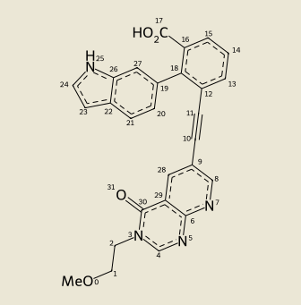 COCCn1cnc2ncc(C#Cc3cccc(C(=O)O)c3-c3ccc4cc[nH]c4c3)cc2c1=O